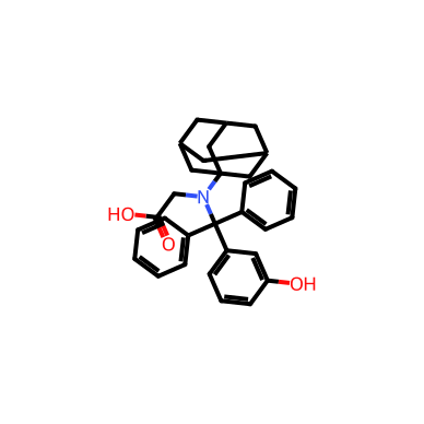 O=C(O)CN(C12CC3CC(CC(C3)C1)C2)C(c1ccccc1)(c1ccccc1)c1cccc(O)c1